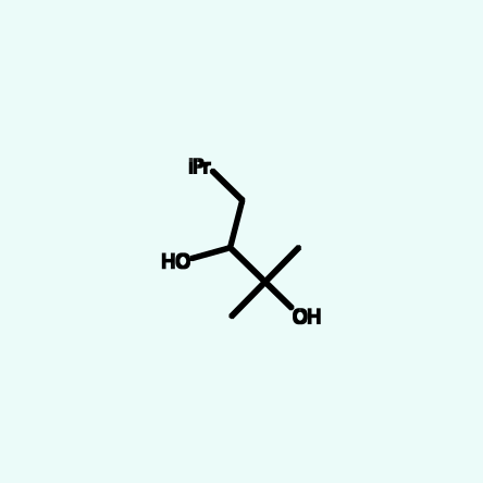 CC(C)CC(O)C(C)(C)O